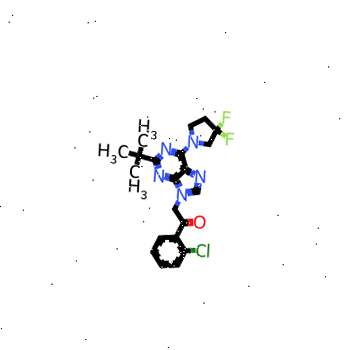 CC(C)(C)c1nc(N2CCC(F)(F)C2)c2ncn(CC(=O)c3ccccc3Cl)c2n1